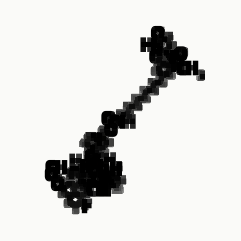 C#Cc1c(F)ccc2cc(OCOC)cc(-c3ncc4c(N5C[C@H]6CC[C@@H](C5)N6C(=O)OC(C)(C)C)nc(OC[C@@]56CCCN5[C@H](COC(=O)NCCCCCCCCCCc5ccc7c(c5)n(C)c(=O)n7C5CCC(=O)NC5=O)CC6)nc4c3F)c12